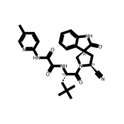 Cc1ccc(NC(=O)C(=O)N[C@@H](CC(C)(C)C)C(=O)N2C[C@]3(C[C@H]2C#N)C(=O)Nc2ccccc23)nc1